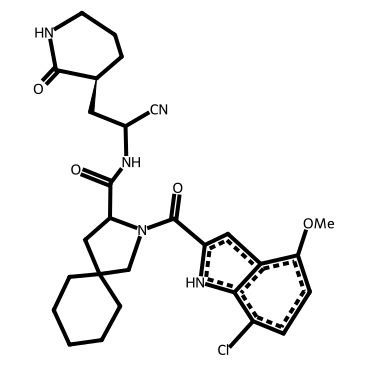 COc1ccc(Cl)c2[nH]c(C(=O)N3CC4(CCCCC4)CC3C(=O)NC(C#N)C[C@@H]3CCCNC3=O)cc12